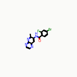 Cc1nc2nccnc2cc1NC(=O)c1ccc(Br)cc1F